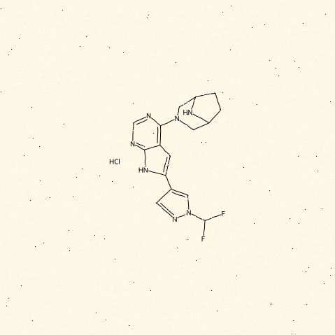 Cl.FC(F)n1cc(-c2cc3c(N4CC5CCC(C4)N5)ncnc3[nH]2)cn1